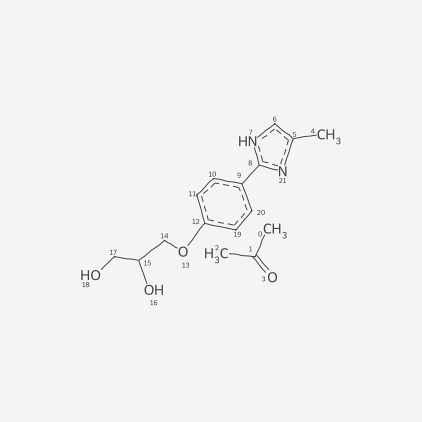 CC(C)=O.Cc1c[nH]c(-c2ccc(OCC(O)CO)cc2)n1